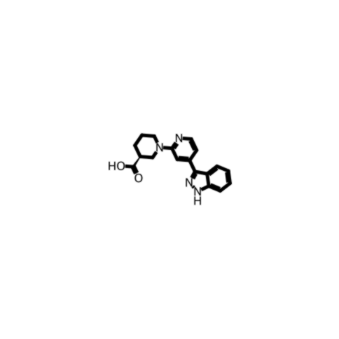 O=C(O)[C@H]1CCCN(c2cc(-c3n[nH]c4ccccc34)ccn2)C1